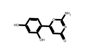 Nc1nc(=O)cc(-c2ccc(O)cc2O)o1